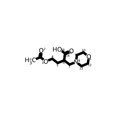 CC(=O)OCCC(CN1CCOCC1)C(=O)O